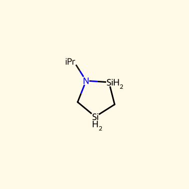 CC(C)N1C[SiH2]C[SiH2]1